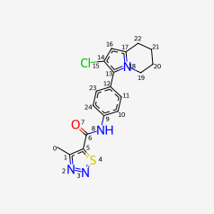 Cc1nnsc1C(=O)Nc1ccc(-c2c(Cl)cc3n2CCCC3)cc1